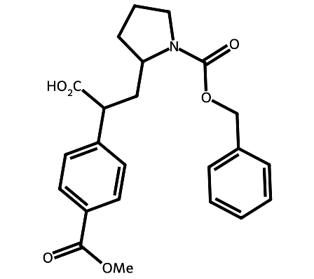 COC(=O)c1ccc(C(CC2CCCN2C(=O)OCc2ccccc2)C(=O)O)cc1